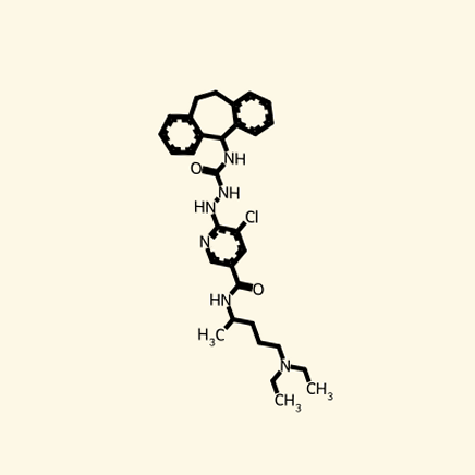 CCN(CC)CCCC(C)NC(=O)c1cnc(NNC(=O)NC2c3ccccc3CCc3ccccc32)c(Cl)c1